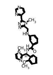 COc1ccccc1[C@@H](NC(=O)c1cccc(NCc2nnc(-c3ccncn3)n2C)c1)c1nccn1C